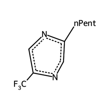 CCCCCc1cnc(C(F)(F)F)cn1